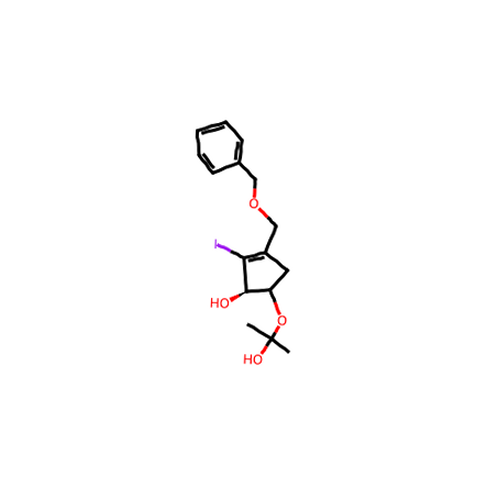 CC(C)(O)OC1CC(COCc2ccccc2)=C(I)[C@@H]1O